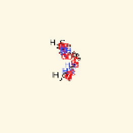 C=CC(=O)OCC(COc1ccccc1)OC(=O)NCc1cccc(CNC(=O)OCCOc2ccc(C3(c4ccc(OCCOC(=O)NCc5cccc(CNC(=O)OCC(COc6ccccc6)OC(=O)C=C)c5)c(-c5ccccc5)c4)c4ccccc4-c4ccccc43)cc2-c2ccccc2)c1